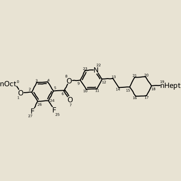 CCCCCCCCOc1ccc(C(=O)Oc2ccc(CCC3CCC(CCCCCCC)CC3)nc2)c(F)c1F